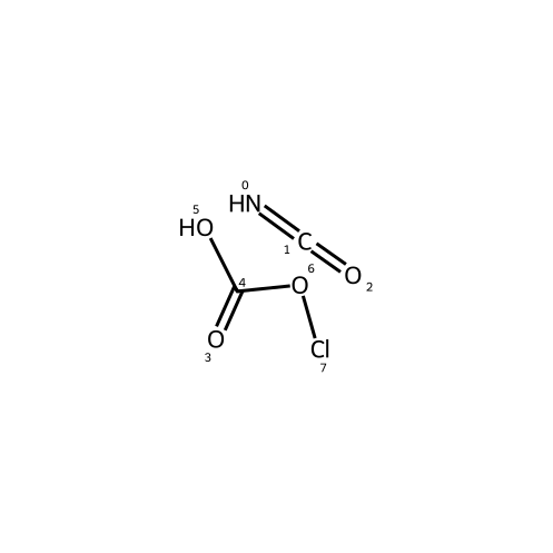 N=C=O.O=C(O)OCl